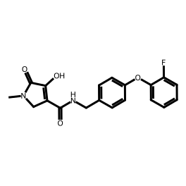 CN1CC(C(=O)NCc2ccc(Oc3ccccc3F)cc2)=C(O)C1=O